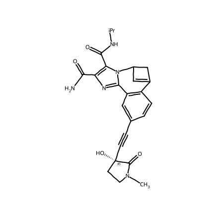 CC(C)NC(=O)c1c(C(N)=O)nc2n1C1C=C(C1)c1ccc(C#C[C@]3(O)CCN(C)C3=O)cc1-2